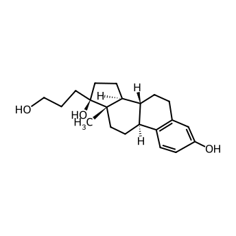 C[C@]12CC[C@@H]3c4ccc(O)cc4CC[C@H]3[C@@H]1CC[C@@]2(O)CCCO